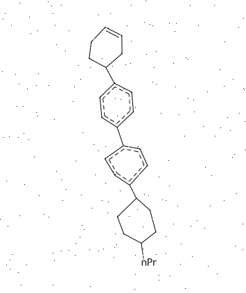 CCCC1CCC(c2ccc(-c3ccc(C4CC=CCC4)cc3)cc2)CC1